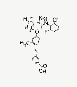 Cc1cc(OCc2c(C(C)C)nnn2-c2c(F)cccc2Cl)ccc1/C=C/c1cccc(C(=O)O)c1